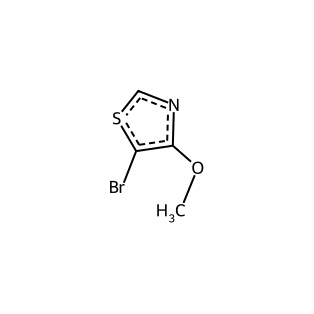 COc1ncsc1Br